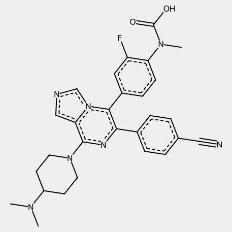 CN(C(=O)O)c1ccc(-c2c(-c3ccc(C#N)cc3)nc(N3CCC(N(C)C)CC3)c3cncn23)cc1F